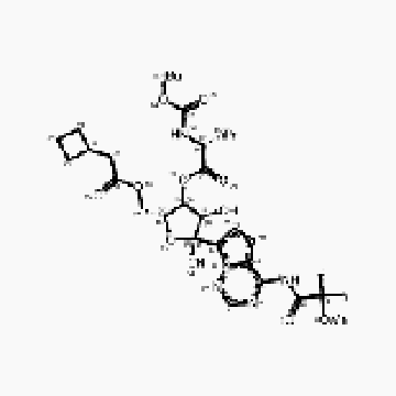 COC(C)(C)C(=O)Nc1ncnn2c([C@]3(C#N)O[C@H](COC(=O)CC4CCC4)[C@@H](OC(=O)[C@H](NC(=O)OC(C)(C)C)C(C)C)[C@H]3O)ccc12